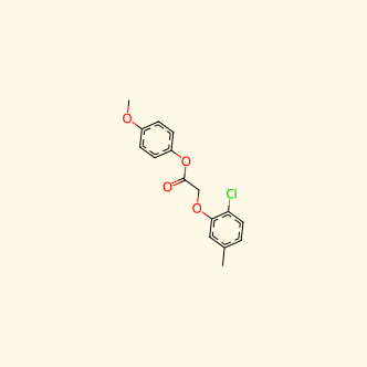 COc1ccc(OC(=O)COc2cc(C)ccc2Cl)cc1